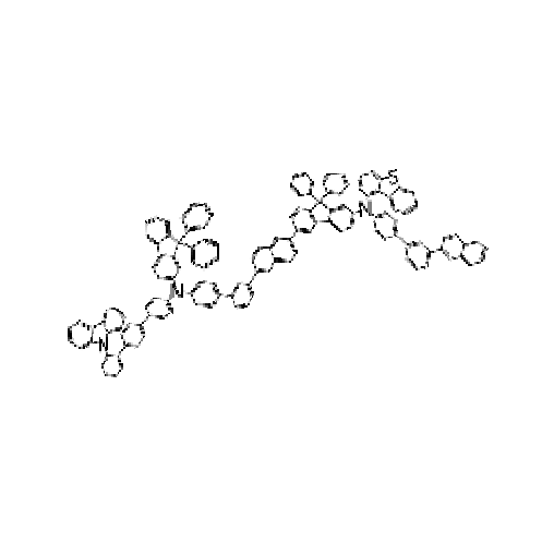 c1ccc(C2(c3ccccc3)c3ccccc3-c3ccc(N(c4ccc(-c5ccc(-c6ccccc6-n6c7ccccc7c7ccccc76)cc5)cc4)c4ccc(-c5cccc(-c6ccc7cc(-c8ccc9c(c8)-c8ccc(N(c%10ccc(-c%11cccc(-c%12ccc%13ccccc%13c%12)c%11)cc%10)c%10cccc%11sc%12ccccc%12c%10%11)cc8C9(c8ccccc8)c8ccccc8)ccc7c6)c5)cc4)cc32)cc1